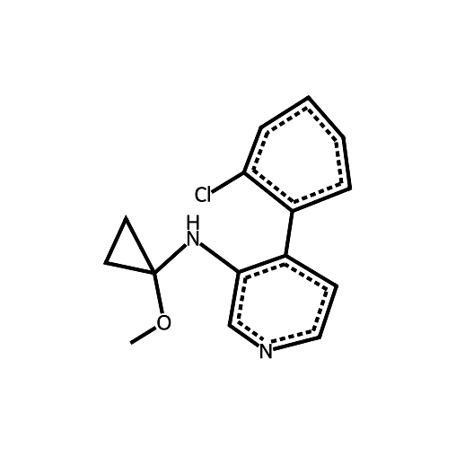 COC1(Nc2cnccc2-c2ccccc2Cl)CC1